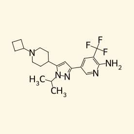 CC(C)n1nc(-c2cnc(N)c(C(F)(F)F)c2)cc1C1CCN(C2CCC2)CC1